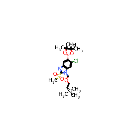 CC1(C)OB(c2cc3nc(S(C)(=O)=O)n(COCC[Si](C)(C)C)c3cc2Cl)OC1(C)C